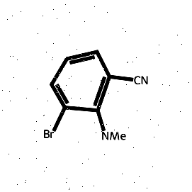 CNc1c(Br)cccc1C#N